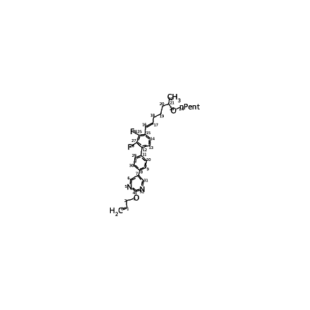 C=CCOc1ncc(-c2ccc(-c3ccc(C=CCCCC(C)OCCCCC)c(F)c3F)cc2)cn1